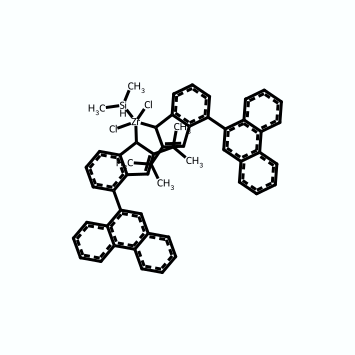 CC(C)C1=Cc2c(-c3cc4ccccc4c4ccccc34)cccc2[CH]1[Zr]([Cl])([Cl])([CH]1C(C(C)C)=Cc2c(-c3cc4ccccc4c4ccccc34)cccc21)[SiH](C)C